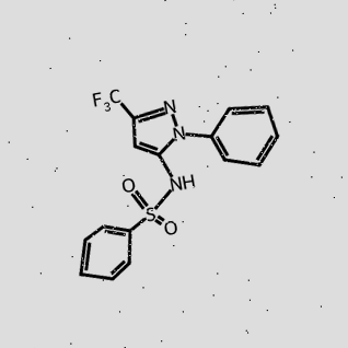 O=S(=O)(Nc1cc(C(F)(F)F)nn1-c1ccccc1)c1ccccc1